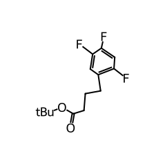 CC(C)(C)OC(=O)CCCc1cc(F)c(F)cc1F